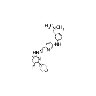 CN(C)Cc1cccc(Nc2ccc(/C=N/Nc3ncc(F)c(N4CCOCC4)n3)nc2)c1